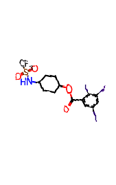 O=C(OC1CCC(NS(=O)(=O)C(F)(F)F)CC1)c1cc(I)cc(I)c1I